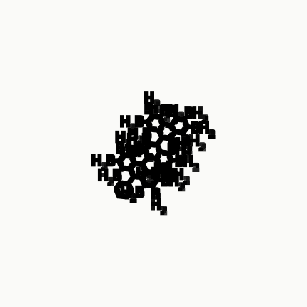 Bc1c(B)c(B)c2c(-c3c(B)c4c(B)c(B)c(B)c(B)c4c4c(B)c(B)c(B)c(B)c34)c(B)c(B)c(-c3c4c(B)c(B)c(B)c(B)c4c(-c4ccccc4)c4c(B)c(B)c(B)c(B)c34)c2c1B